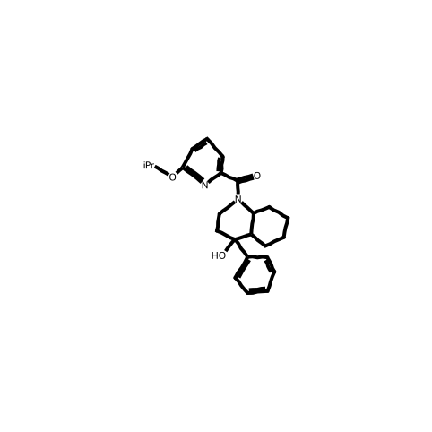 CC(C)Oc1cccc(C(=O)N2CCC(O)(c3ccccc3)C3CCCCC32)n1